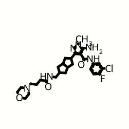 Cn1nc(C2CC3CC(CNC(=O)CCCN4CCOCC4)CC3C2)c(C(=O)Nc2ccc(F)c(Cl)c2)c1N